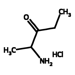 CCC(=O)C(C)N.Cl